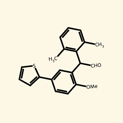 COc1ccc(-c2cccs2)cc1C(C=O)c1c(C)cccc1C